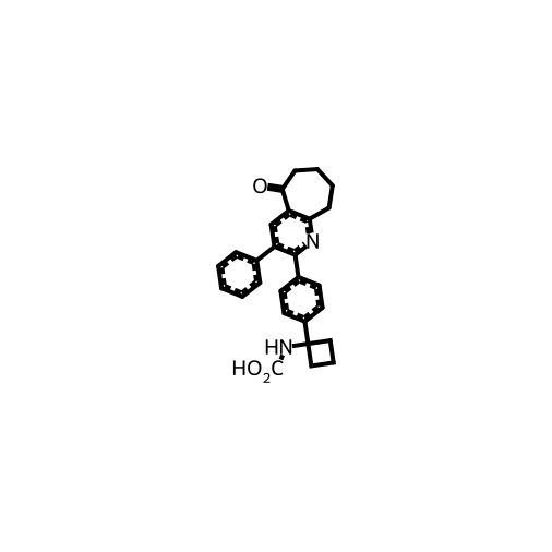 O=C(O)NC1(c2ccc(-c3nc4c(cc3-c3ccccc3)C(=O)CCCC4)cc2)CCC1